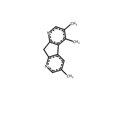 Cc1cnc2c(c1)-c1c(ncc(C)c1C)C2